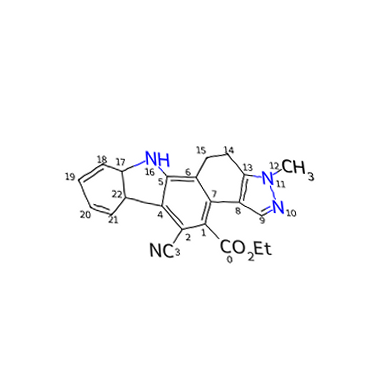 CCOC(=O)c1c(C#N)c2c(c3c1-c1cnn(C)c1CC3)NC1C=CC=CC21